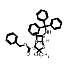 CC1(C)S[C@@H]2[C@H](NC(c3ccccc3)(c3ccccc3)c3ccccc3)C(=O)N2[C@H]1C(=O)OCc1ccccc1